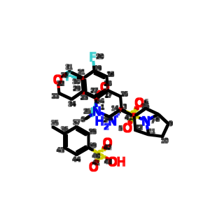 CN(CCS(=O)(=O)N1C2CCC1CC([C@H](N)Cc1cc(F)c(F)cc1F)C2)C(=O)C1CCOCC1.Cc1ccc(S(=O)(=O)O)cc1